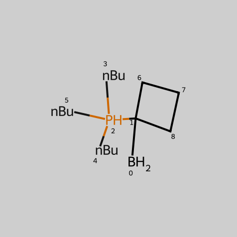 BC1([PH](CCCC)(CCCC)CCCC)CCC1